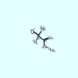 [2H]OC(=O)C([2H])([2H])Cl